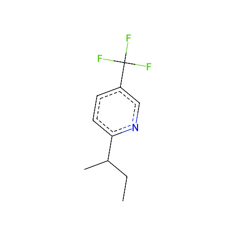 CCC(C)c1ccc(C(F)(F)F)cn1